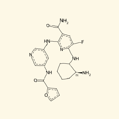 NC(=O)c1cc(F)c(NC2CCCC[C@@H]2N)nc1Nc1cncc(NC(=O)c2ccco2)c1